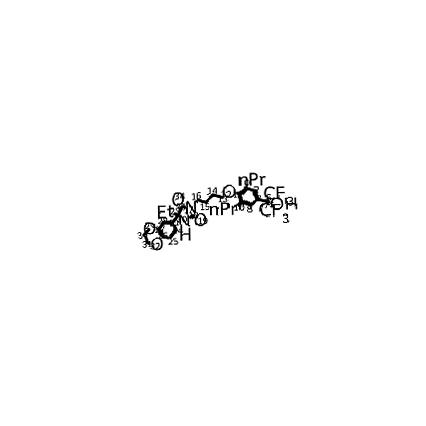 CCCc1cc(C(O)(C(F)(F)F)C(F)(F)F)cc(CCC)c1OCCCCN1C(=O)NC(CC)(c2ccc3c(c2)OCCO3)C1=O